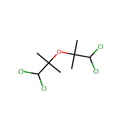 CC(C)(OC(C)(C)C(Cl)Cl)C(Cl)Cl